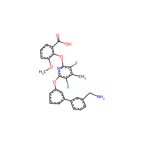 COc1cccc(C(=O)O)c1Oc1nc(Oc2cccc(-c3cccc(CN)c3)c2)c(F)c(C)c1F